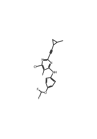 CC1CC1C#Cc1nc(Cl)c(F)c(Nc2ccc(OC(F)F)cc2)n1